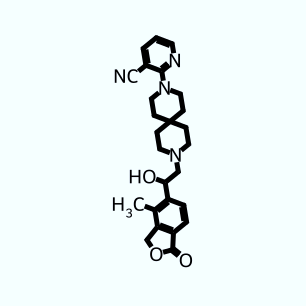 Cc1c(C(O)CN2CCC3(CC2)CCN(c2ncccc2C#N)CC3)ccc2c1COC2=O